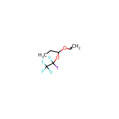 C=COC(CC)OC(F)(I)C(F)(F)F